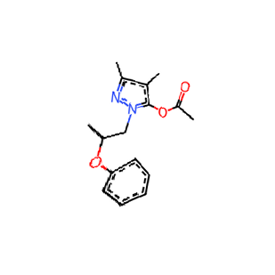 CC(=O)Oc1c(C)c(C)nn1CC(C)Oc1ccccc1